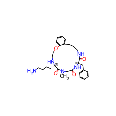 CN1CC(=O)N[C@H](Cc2ccccc2)C(=O)NCCCc2ccccc2OCCN[C@@H](CCCCN)C1=O